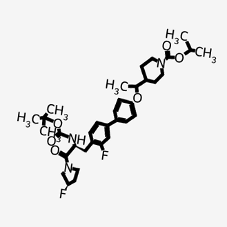 CC(C)OC(=O)N1CCC(C(C)Oc2ccc(-c3ccc(C[C@H](NC(=O)OC(C)(C)C)C(=O)N4CC[C@H](F)C4)c(F)c3)cc2)CC1